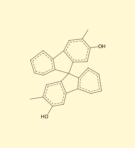 Cc1cc2c(cc1O)-c1ccccc1C21c2ccccc2-c2cc(C)c(O)cc21